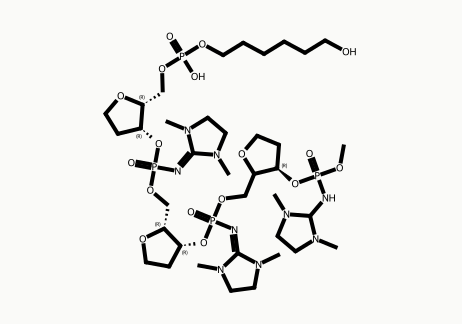 COP(=O)(NC1N(C)CCN1C)O[C@@H]1CCOC1COP(=O)(N=C1N(C)CCN1C)O[C@@H]1CCO[C@@H]1COP(=O)(N=C1N(C)CCN1C)O[C@@H]1CCO[C@@H]1COP(=O)(O)OCCCCCCO